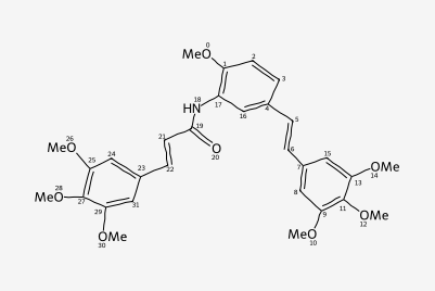 COc1ccc(/C=C/c2cc(OC)c(OC)c(OC)c2)cc1NC(=O)/C=C/c1cc(OC)c(OC)c(OC)c1